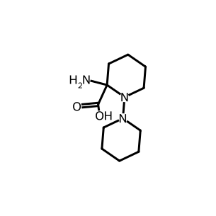 NC1(C(=O)O)CCCCN1N1CCCCC1